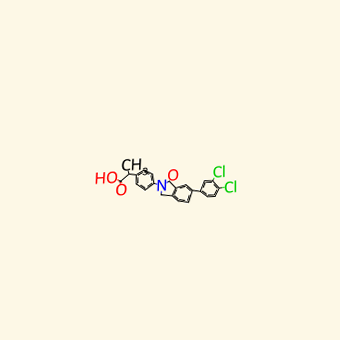 CC(C(=O)O)c1ccc(N2Cc3ccc(-c4ccc(Cl)c(Cl)c4)cc3C2=O)cc1